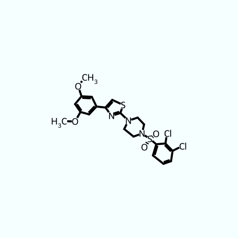 COc1cc(OC)cc(-c2csc(N3CCN(S(=O)(=O)c4cccc(Cl)c4Cl)CC3)n2)c1